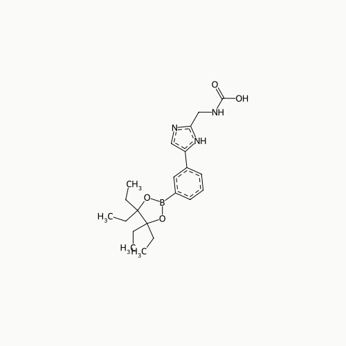 CCC1(CC)OB(c2cccc(-c3cnc(CNC(=O)O)[nH]3)c2)OC1(CC)CC